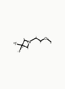 COCCN1CC(F)(F)C1